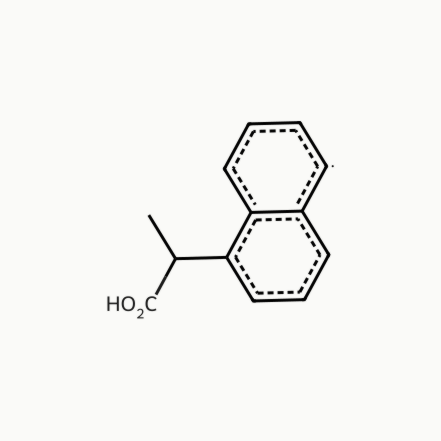 CC(C(=O)O)c1cccc2[c]cccc12